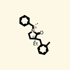 CC[C@]1(Cc2ccccc2C)CCN([C@@H](C)c2ccccc2)C1=O